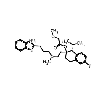 COCC(=O)O[C@@]1(CCN(C)CCCc2nc3ccccc3[nH]2)CCc2cc(F)ccc2[C@H]1C(C)C